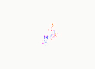 CON=C(C(=O)NC1C(=O)N(S(=O)(=O)O)C1CNC(=O)OCCS(C)(=O)=O)c1csc(NC(=O)CCl)n1